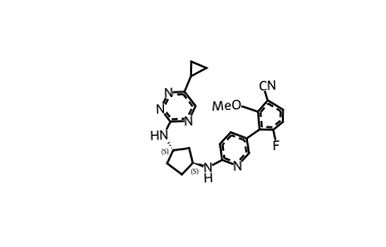 COc1c(C#N)ccc(F)c1-c1ccc(N[C@H]2CC[C@H](Nc3ncc(C4CC4)nn3)C2)nc1